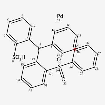 O=S(=O)(O)c1ccccc1P(c1ccccc1)c1ccccc1S(=O)(=O)c1ccccc1.[Pd]